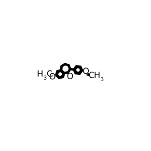 CCOc1ccc(C2CCCc3cc(OC)ccc3C2=O)cc1